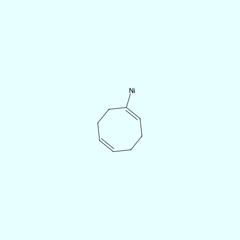 [Ni][C]1=CCCC=CCC1